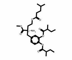 CCC(C)C(=O)Oc1ccc(C[C@](N)(CCOC(=O)CCC(C)C)C(=O)OC)cc1OC(=O)C(C)CC